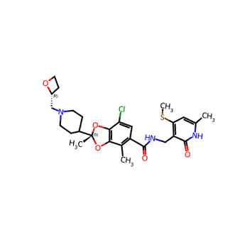 CSc1cc(C)[nH]c(=O)c1CNC(=O)c1cc(Cl)c2c(c1C)O[C@](C)(C1CCN(C[C@H]3CCO3)CC1)O2